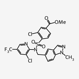 COC(=O)c1ccc(S(=O)(=O)N(Cc2ccc3c(cnn3C)c2)c2ncc(C(F)(F)F)cc2Cl)c(Cl)c1